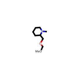 COCOCC1CCCCN1C